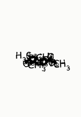 CCOC(=O)C1CCN(Cc2c(C)cc(C)c(C=O)c2C)CC1